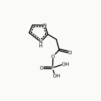 O=C(Cc1ncc[nH]1)OP(=O)(O)O